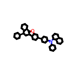 c1ccc(-c2cc3c4ccc(-c5ccc(N(c6ccccc6)c6cccc7ccccc67)cc5)cc4oc3c3ccccc23)cc1